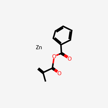 C=C(C)C(=O)OC(=O)c1ccccc1.[Zn]